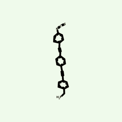 PCc1ccc(C#Cc2ccc(C#Cc3ccc(N=C=S)cc3)cc2)cc1